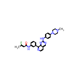 CC(F)=CC(=O)Nc1cccc(-c2nccc3cnc(Nc4ccc(N5CCN(C)CC5)cc4)nc23)c1